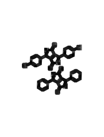 O=c1nc(-c2ccc(Cl)cc2)c2c(=O)nc(-c3ccc(Cl)cc3)c1=2.O=c1nc(-c2ccccc2)c2c(=O)nc(-c3ccccc3)c1=2